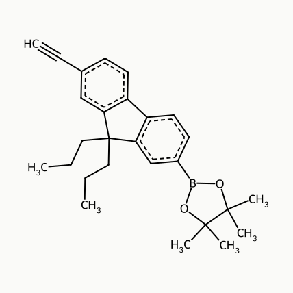 C#Cc1ccc2c(c1)C(CCC)(CCC)c1cc(B3OC(C)(C)C(C)(C)O3)ccc1-2